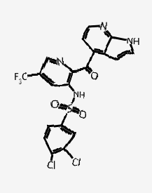 O=C(c1ncc(C(F)(F)F)cc1NS(=O)(=O)c1ccc(Cl)c(Cl)c1)c1ccnc2[nH]ccc12